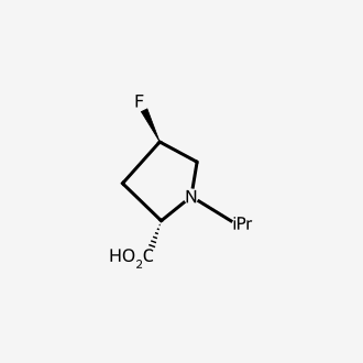 CC(C)N1C[C@H](F)C[C@H]1C(=O)O